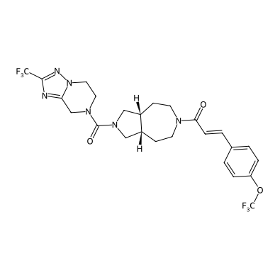 O=C(/C=C/c1ccc(OC(F)(F)F)cc1)N1CC[C@@H]2CN(C(=O)N3CCn4nc(C(F)(F)F)nc4C3)C[C@@H]2CC1